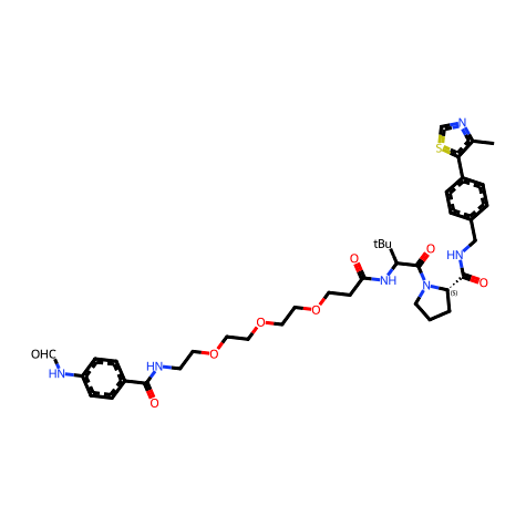 Cc1ncsc1-c1ccc(CNC(=O)[C@@H]2CCCN2C(=O)C(NC(=O)CCOCCOCCOCCNC(=O)c2ccc(NC=O)cc2)C(C)(C)C)cc1